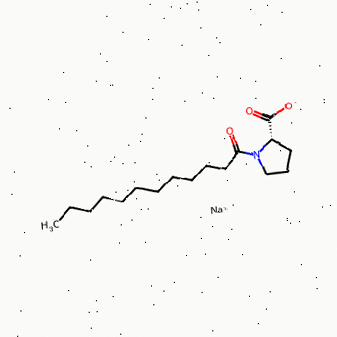 CCCCCCCCCCCC(=O)N1CCC[C@H]1C(=O)[O-].[Na+]